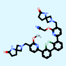 COc1nc(-c2cccc(-c3cccc(-c4ccc(CN5CC6(CCC(=O)N6)C5)c(OCC#N)n4)c3Cl)c2Cl)ccc1CN1CC2(CCC(=O)N2)C1